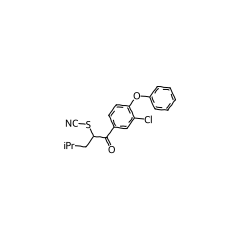 CC(C)CC(SC#N)C(=O)c1ccc(Oc2ccccc2)c(Cl)c1